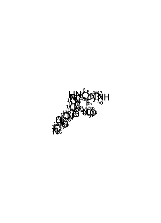 CC1CN(c2ccc(Nc3ncc4cc(-c5ccc(S(=O)(=O)c6ccncc6)cn5)c(=O)n(CCN5CCOCC5)c4n3)cc2F)CCN1